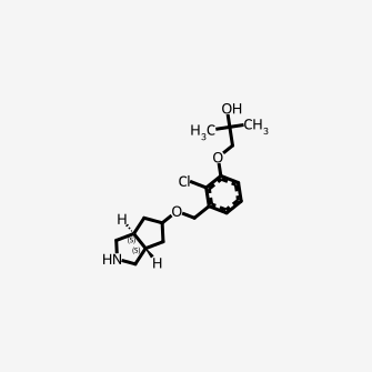 CC(C)(O)COc1cccc(COC2C[C@@H]3CNC[C@H]3C2)c1Cl